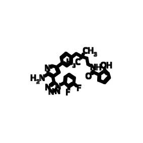 CC(C)(CCNC(=O)c1ccccc1O)Cc1ccc(-c2cnc(N)c(-c3nnnn3-c3cccc(F)c3F)c2)cc1